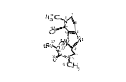 CN(Cc1nc2ccn(C)c(=O)c2[nH]1)C(=O)OC(C)(C)C